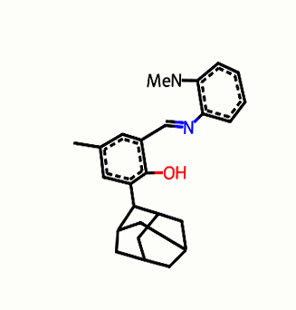 CNc1ccccc1N=Cc1cc(C)cc(C2C3CC4CC(C3)CC2C4)c1O